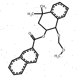 COCOC1c2ccccc2C(C)(C)CC1OC(=O)c1ccc2ccccc2c1